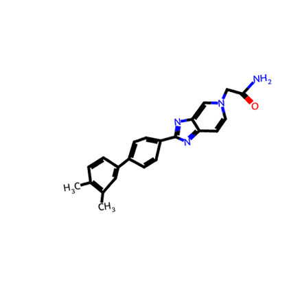 Cc1ccc(-c2ccc(-c3nc4ccn(CC(N)=O)cc-4n3)cc2)cc1C